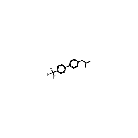 CC(C)Cc1ccc(-c2ccc(C(F)(F)F)cc2)cc1